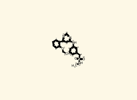 CCOc1ccccc1-c1cc(Nc2cccc(CS(=O)(=O)NC)c2)ncn1